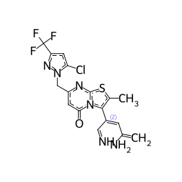 C=C(N)/C=C(\C=N)c1c(C)sc2nc(Cn3nc(C(F)(F)F)cc3Cl)cc(=O)n12